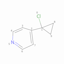 ClC1(c2ccncc2)CC1